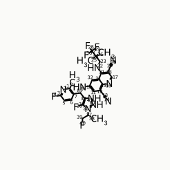 Cc1nc(F)ccc1[C@H](Nc1cc(C#N)c2ncc(C#N)c(NCC(C)(C)C(F)(F)F)c2c1)C1=C(F)N([C@@H](C)CF)NN1